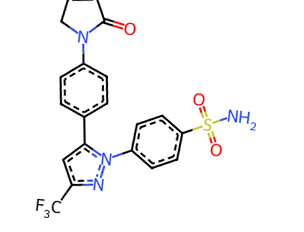 NS(=O)(=O)c1ccc(-n2nc(C(F)(F)F)cc2-c2ccc(N3CC=CC3=O)cc2)cc1